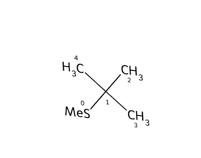 [CH]SC(C)(C)C